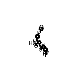 O=C(c1ccc(SCC2CCOCC2)cc1)C1CCC(Cn2nnc3ccc(C(F)(F)F)cc3c2=O)C1C(=O)O